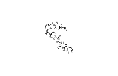 CN1CCN(Cc2cccc(C(=O)N3CCC4(CC3)CC4CNC(=O)c3cc4ccncc4o3)c2)CC1